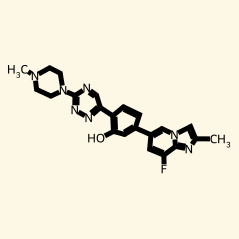 Cc1cn2cc(-c3ccc(-c4cnc(N5CCN(C)CC5)nn4)c(O)c3)cc(F)c2n1